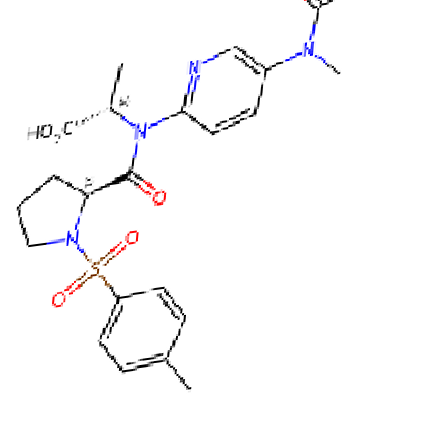 CNC(=O)N(C)c1ccc(N(C(=O)[C@@H]2CCCN2S(=O)(=O)c2ccc(C)cc2)[C@@H](C)C(=O)O)nc1